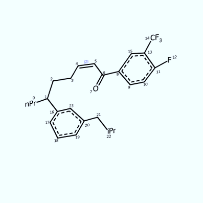 CCCC(CC/C=C\C(=O)c1ccc(F)c(C(F)(F)F)c1)c1cccc(CC(C)C)c1